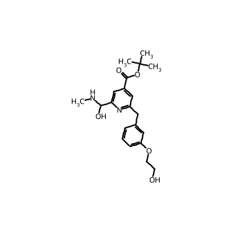 CNC(O)c1cc(C(=O)OC(C)(C)C)cc(Cc2cccc(OCCO)c2)n1